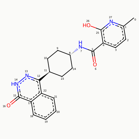 Cc1ccc(C(=O)N[C@H]2CC[C@H](c3n[nH]c(=O)c4ccccc43)CC2)c(O)n1